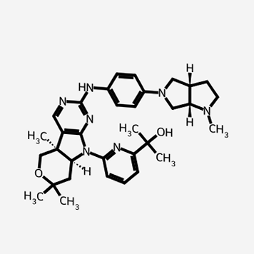 CN1CC[C@H]2CN(c3ccc(Nc4ncc5c(n4)N(c4cccc(C(C)(C)O)n4)[C@H]4CC(C)(C)OC[C@@]54C)cc3)C[C@H]21